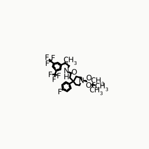 C[C@@H](CNC(=O)CC1(c2ccc(F)cc2)CCN(C(=O)OC(C)(C)C)CC1)c1cc(C(F)(F)F)cc(C(F)(F)F)c1